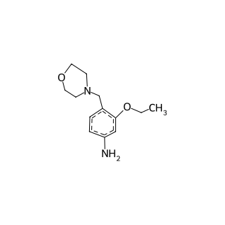 CCOc1cc(N)ccc1CN1CCOCC1